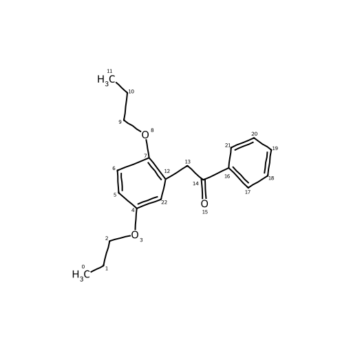 CCCOc1ccc(OCCC)c(CC(=O)c2ccccc2)c1